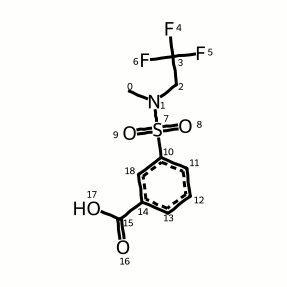 CN(CC(F)(F)F)S(=O)(=O)c1cccc(C(=O)O)c1